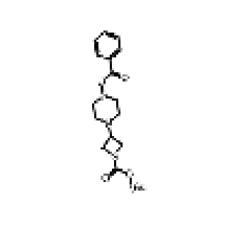 CC(C)(C)OC(=O)N1CC(N2CCN(OC(=O)c3ccccc3)CC2)C1